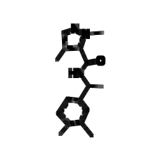 Cc1ccc(C(C)NC(=O)c2c(C)cnn2C)cc1C